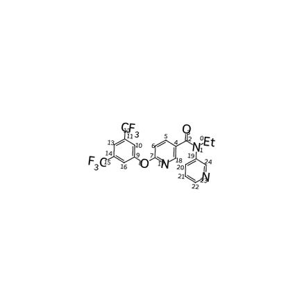 CCN(C(=O)c1ccc(Oc2cc(C(F)(F)F)cc(C(F)(F)F)c2)nc1)c1cccnc1